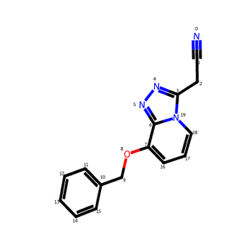 N#CCc1nnc2c(OCc3ccccc3)cccn12